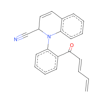 C=C/C=C/C(=O)c1ccccc1N1c2ccccc2C=CC1C#N